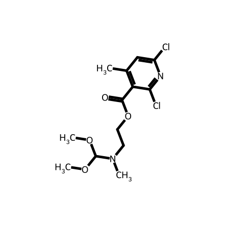 COC(OC)N(C)CCOC(=O)c1c(C)cc(Cl)nc1Cl